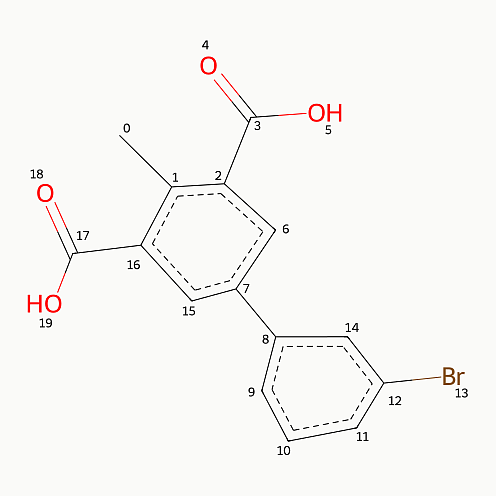 Cc1c(C(=O)O)cc(-c2cccc(Br)c2)cc1C(=O)O